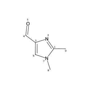 Cc1nc(C=O)cn1C